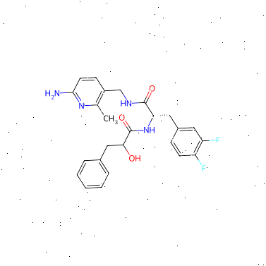 Cc1nc(N)ccc1CNC(=O)[C@H](Cc1ccc(F)c(F)c1)NC(=O)C(O)Cc1ccccc1